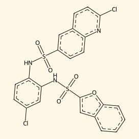 O=S(=O)(Nc1ccc(Cl)cc1NS(=O)(=O)c1cc2ccccc2o1)c1ccc2nc(Cl)ccc2c1